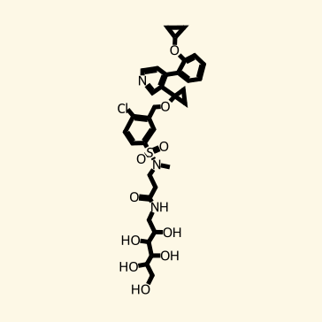 CN(CCC(=O)NCC(O)C(O)C(O)C(O)CO)S(=O)(=O)c1ccc(Cl)c(COC2(c3cnccc3-c3ccccc3OC3CC3)CC2)c1